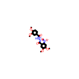 COc1ccc(C(=O)NNC(=O)c2cc(OC)c(OC)cc2[N+](=O)[O-])cc1OC